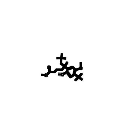 COC(=O)CCCC(C)(CC(C)(C)C)c1cc(OC)c(C(C)(C)C)cc1O